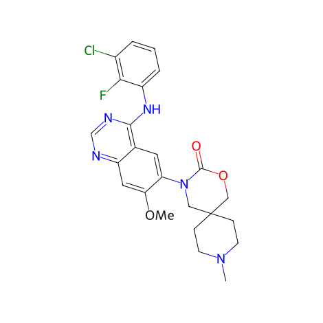 COc1cc2ncnc(Nc3cccc(Cl)c3F)c2cc1N1CC2(CCN(C)CC2)COC1=O